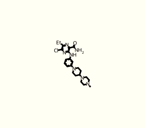 CCc1nc(C(N)=O)c(Nc2cccc(N3CCC(N4CCN(C)CC4)CC3)c2)nc1Cl